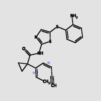 C#C/C=C\C(=C/C)C1(C(=O)Nc2ncc(Sc3ccccc3N)s2)CC1